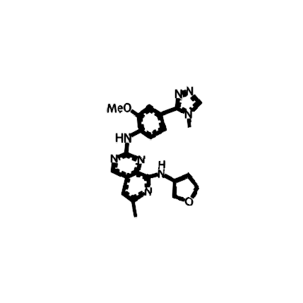 COc1cc(-c2nncn2C)ccc1Nc1ncc2cc(C)nc(NC3CCOC3)c2n1